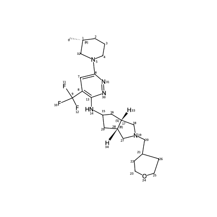 C[C@@H]1CCCN(c2cc(C(F)(F)F)c(NC3C[C@@H]4CN(CC5CCOCC5)C[C@@H]4C3)nn2)C1